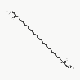 C=CC(=O)OCCCCCCCCCCCCCCCCCCOC(=O)C=C